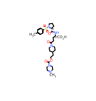 Cc1ccc(S(=O)(=O)N2CCC[C@@H]2C(=O)N[C@@H](CCC(=O)N2CCC(CCOC(=O)N3CCN(C)CC3)CC2)C(=O)O)cc1